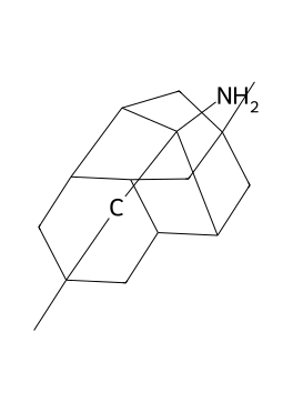 CC12CC3C4CC5(C)CC3C(C1)C(N)(C5)C4C2